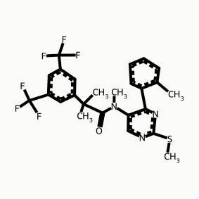 CSc1ncc(N(C)C(=O)C(C)(C)c2cc(C(F)(F)F)cc(C(F)(F)F)c2)c(-c2ccccc2C)n1